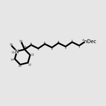 CCCCCCCCCCCCCCCCCCC1(C)CCCCN1C